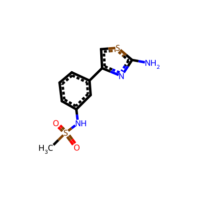 CS(=O)(=O)Nc1cccc(-c2csc(N)n2)c1